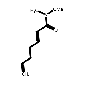 C=CCCC=CC(=O)N(C)OC